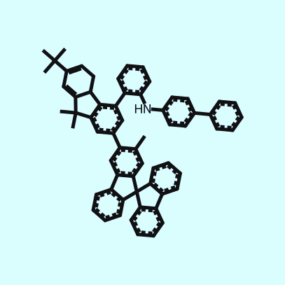 Cc1cc2c(cc1-c1cc(-c3ccccc3Nc3ccc(-c4ccccc4)cc3)c3c(c1)C(C)(C)C1=CC(C(C)(C)C)=CCC13)-c1ccccc1C21c2ccccc2-c2ccccc21